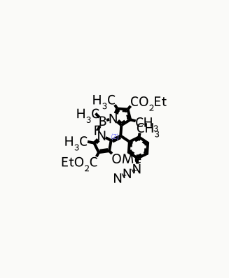 CCOC(=O)C1=C(OC)/C(=C(\c2cc(N=[N+]=[N-])ccc2C)c2c(C)c(C(=O)OCC)c(C)n2B(C)F)N=C1C